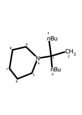 CCCCC(C)(CCCC)N1CCCCC1